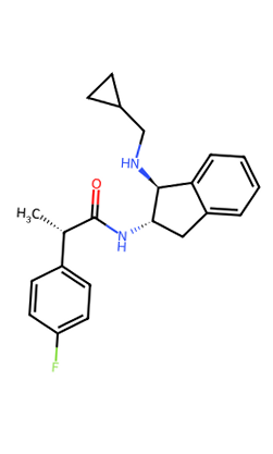 C[C@H](C(=O)N[C@H]1Cc2ccccc2[C@@H]1NCC1CC1)c1ccc(F)cc1